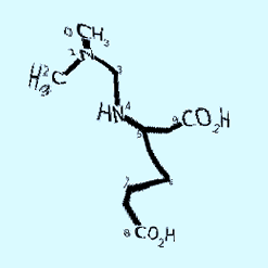 CN(C)CNC(CCC(=O)O)C(=O)O